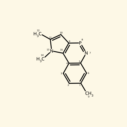 Cc1ccc2c(c1)npc1cc(C)n(C)c12